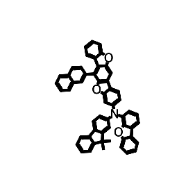 CC1(C)c2ccccc2-c2ccc(N(c3ccc4c(c3)oc3c(-c5ccc6ccccc6c5)c5c(cc34)oc3ccccc35)c3cccc4c3oc3ccccc34)cc21